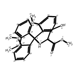 COC(=O)C(CO)NC(c1ccccc1OC)(c1ccccc1OC)c1ccccc1OC